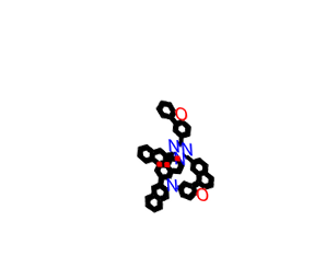 c1ccc2cc(-c3nc(-c4ccc5oc6ccccc6c5c4)nc(-c4ccc5ccc6oc7ccc(-n8c9cc%10ccccc%10cc9c9ccc%10ccccc%10c98)cc7c6c5c4)n3)ccc2c1